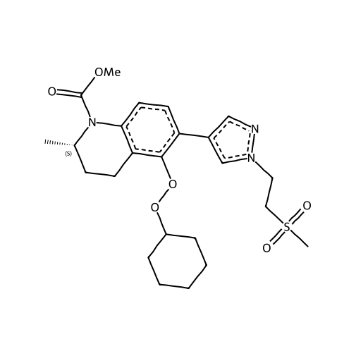 COC(=O)N1c2ccc(-c3cnn(CCS(C)(=O)=O)c3)c(OOC3CCCCC3)c2CC[C@@H]1C